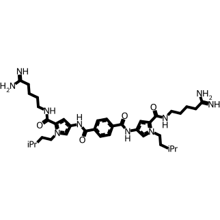 CC(C)CCn1cc(NC(=O)c2ccc(C(=O)Nc3cc(C(=O)NCCCCC(=N)N)n(CCC(C)C)c3)cc2)cc1C(=O)NCCCCC(=N)N